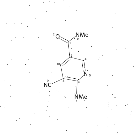 CNC(=O)c1cnc(NC)c(C#N)c1